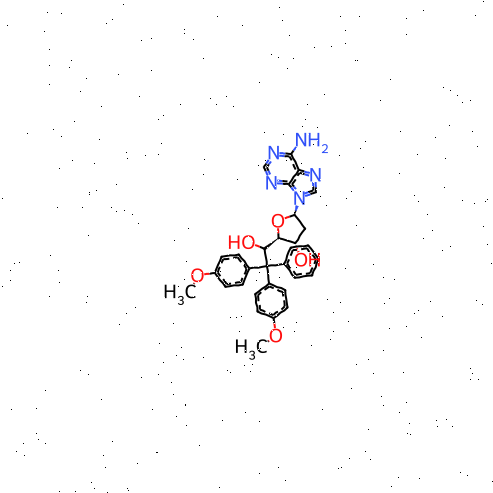 COc1ccc(C(c2ccccc2)(c2ccc(OC)cc2)C(O)[C@H]2O[C@@H](n3cnc4c(N)ncnc43)C[C@@H]2O)cc1